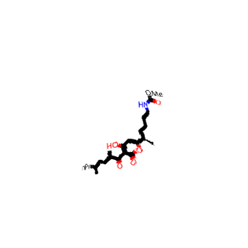 CCC/C(C)=C/C=C(\C)C(=O)c1c(O)cc([C@H](C)CC/C=C/NC(=O)OC)oc1=O